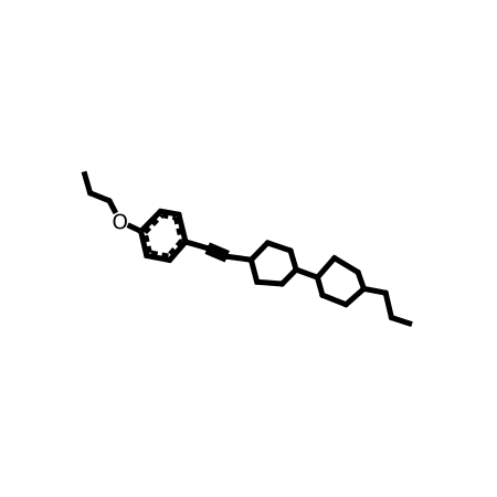 CCCOc1ccc(C#CC2CCC(C3CCC(CCC)CC3)CC2)cc1